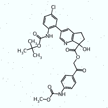 COC(=O)Nc1ccc(C(=O)COC(=O)C2(O)CCc3cc(-c4cc(Cl)ccc4NC(=O)OC(C)(C)C)cnc32)cc1